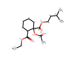 CCOC(=O)C1CCCCC1(OC(C)=O)C(=O)OCCC(C)C